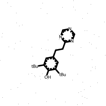 CC(C)(C)c1cc(CCc2ncncn2)cc(C(C)(C)C)c1O